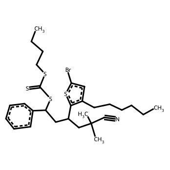 CCCCCCc1cc(Br)sc1C(CC(SC(=S)SCCCC)c1ccccc1)CC(C)(C)C#N